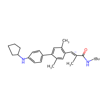 C/C(=C\c1cc(C)c(-c2ccc(NC3CCCC3)cc2)cc1C)C(=O)NC(C)(C)C